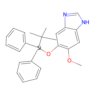 COc1cc2[nH]cnc2cc1O[Si](c1ccccc1)(c1ccccc1)C(C)(C)C